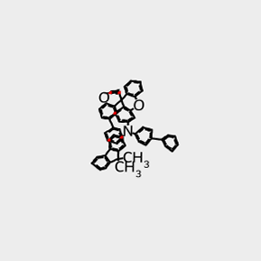 CC1(C)c2ccccc2-c2ccc(N(c3ccc(-c4ccccc4)cc3)c3ccc4c(c3)Oc3ccccc3C43c4ccccc4Oc4ccc(-c5ccccc5)cc43)cc21